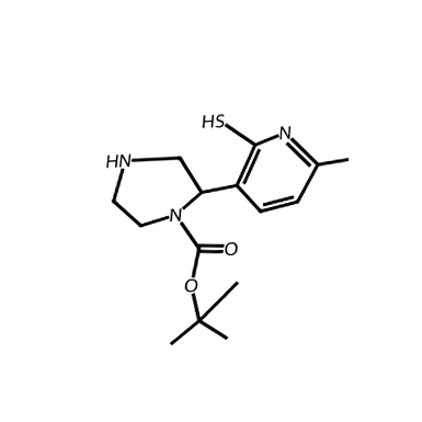 Cc1ccc(C2CNCCN2C(=O)OC(C)(C)C)c(S)n1